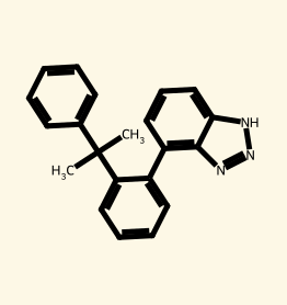 CC(C)(c1ccccc1)c1ccccc1-c1cccc2[nH]nnc12